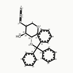 [N-]=[N+]=NC1COC[C@H](OC(c2ccccc2)(c2ccccc2)c2ccccc2)[C@H]1O